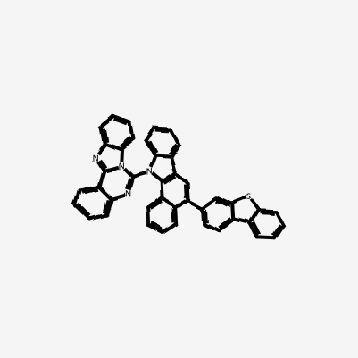 c1ccc2c(c1)nc(-n1c3ccccc3c3cc(-c4ccc5c(c4)sc4ccccc45)c4ccccc4c31)n1c3ccccc3nc21